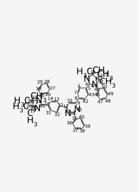 CC1(C)N=C(c2ccc(-c3cc(-c4ccc(C5=NC(C)(C)C(C)(C)N5c5ccccc5)cc4)nc(-c4ccccc4)n3)cc2)N(c2ccccc2)C1(C)C